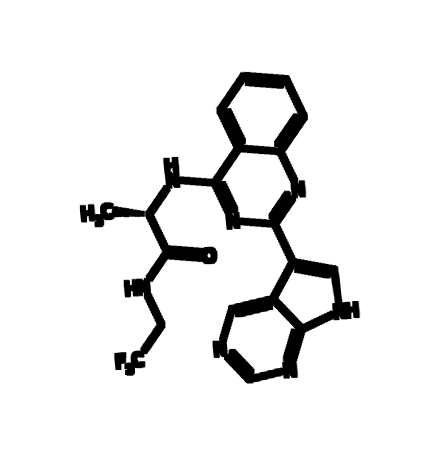 C[C@H](Nc1nc(-c2c[nH]c3ncncc23)nc2ccccc12)C(=O)NCC(F)(F)F